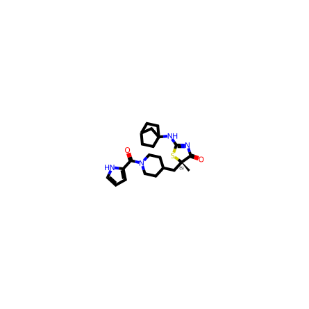 C[C@@]1(CC2CCN(C(=O)c3ccc[nH]3)CC2)SC(NC23CCC(CC2)C3)=NC1=O